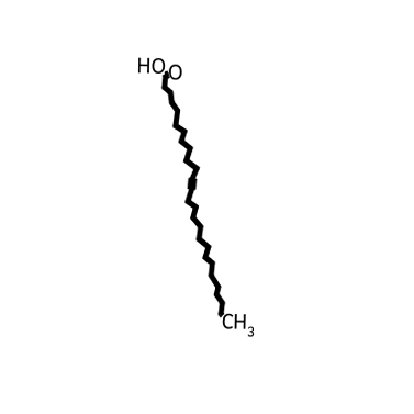 CCCCCCCCCCCCCCC#CCCCCCCCCCCC(=O)O